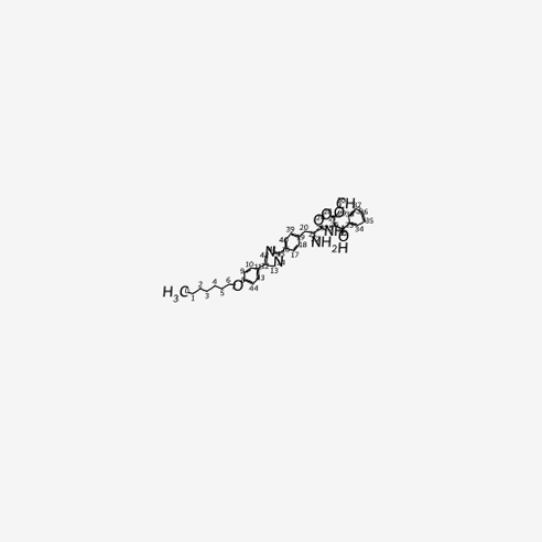 CCCCCCCOc1ccc(-c2cnc(-c3ccc(CC(N)C(=O)NC(C(=O)OC)C(O)c4ccccc4)cc3)nc2)cc1